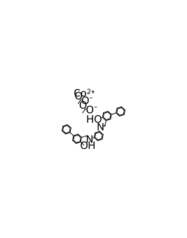 CC(=O)[O-].CC(=O)[O-].Oc1ccc(-c2ccccc2)cc1C=Nc1cccc(N=Cc2cc(-c3ccccc3)ccc2O)c1.[Co+2]